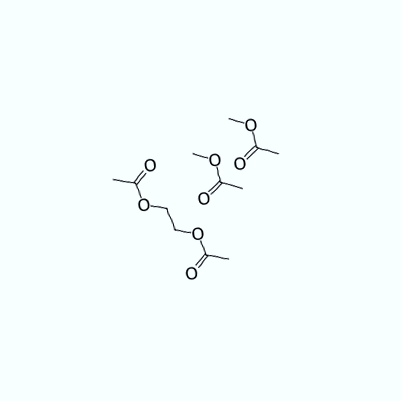 CC(=O)OCCOC(C)=O.COC(C)=O.COC(C)=O